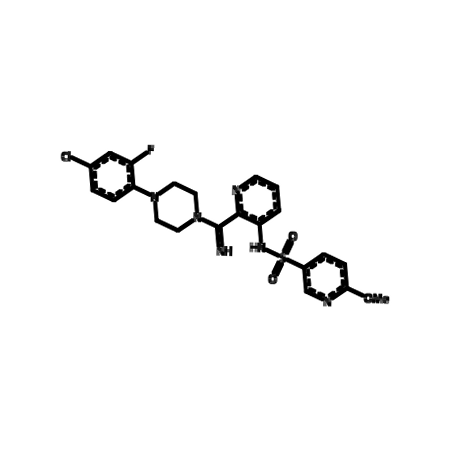 COc1ccc(S(=O)(=O)Nc2cccnc2C(=N)N2CCN(c3ccc(Cl)cc3F)CC2)cn1